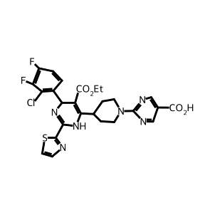 CCOC(=O)C1=C(C2CCN(c3ncc(C(=O)O)cn3)CC2)NC(c2nccs2)=NC1c1ccc(F)c(F)c1Cl